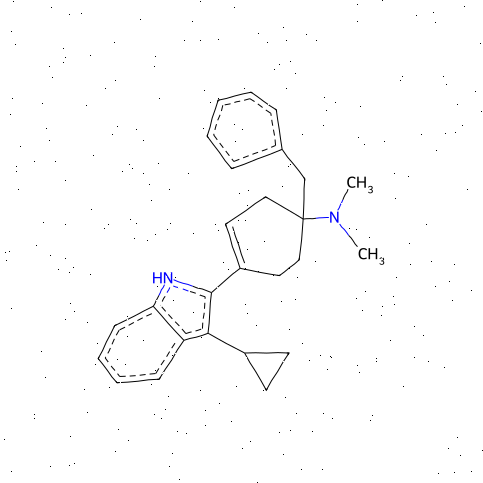 CN(C)C1(Cc2ccccc2)CC=C(c2[nH]c3ccccc3c2C2CC2)CC1